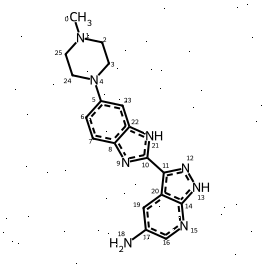 CN1CCN(c2ccc3nc(-c4n[nH]c5ncc(N)cc45)[nH]c3c2)CC1